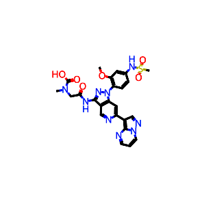 COc1cc(NS(C)(=O)=O)ccc1-n1nc(NC(=O)CN(C)C(=O)O)c2cnc(-c3cnn4cccnc34)cc21